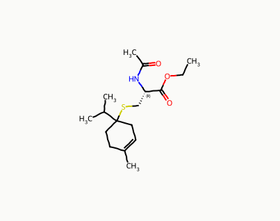 CCOC(=O)[C@H](CSC1(C(C)C)CC=C(C)CC1)NC(C)=O